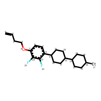 C=CCCOc1ccc(C2CCC(C3CCC(CC)CC3)CC2)c(F)c1F